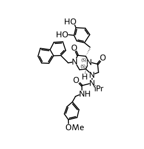 COc1ccc(CNC(=O)N(C(C)C)N2CC(=O)N3[C@@H](Cc4ccc(O)c(O)c4)C(=O)N(Cc4cccc5ccccc45)C[C@@H]32)cc1